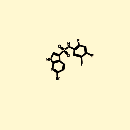 O=S(=O)(Nc1cc(F)c(F)cc1F)c1c[nH]c2nc(Br)ccc12